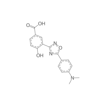 CN(C)c1ccc(-c2nc(-c3cc(C(=O)O)ccc3O)no2)cc1